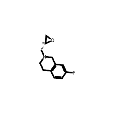 Fc1ccc2c(c1)CN(C[C@@H]1CO1)CC2